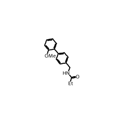 CCC(=O)NCc1ccc(-c2ccccc2OC)cc1